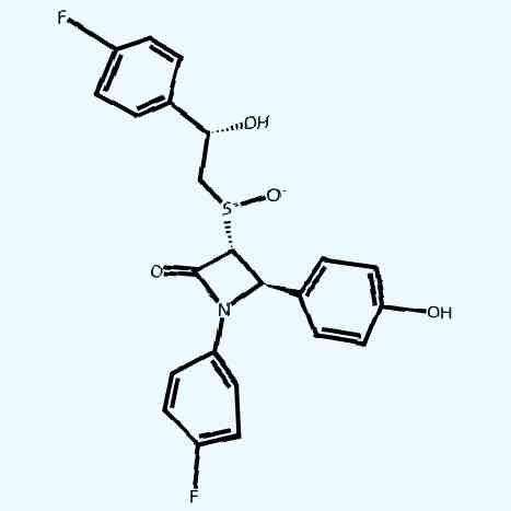 O=C1[C@H]([S+]([O-])C[C@@H](O)c2ccc(F)cc2)[C@@H](c2ccc(O)cc2)N1c1ccc(F)cc1